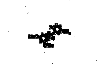 COc1cc(NC(=O)c2cc(C)ccc2F)cc(OC)c1